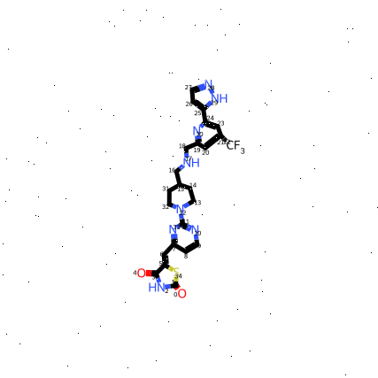 O=C1NC(=O)/C(=C/c2ccnc(N3CCC(CNCc4cc(C(F)(F)F)cc(-c5ccn[nH]5)n4)CC3)n2)S1